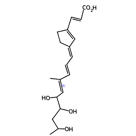 C/C(C=CC=C1C=C(C=CC(=O)O)CC1)=C\C(O)C(O)CC(C)O